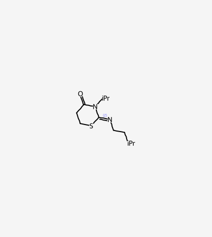 CC(C)CC/N=C1\SCCC(=O)N1C(C)C